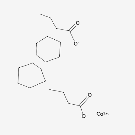 C1CCCCC1.C1CCCCC1.CCCC(=O)[O-].CCCC(=O)[O-].[Co+2]